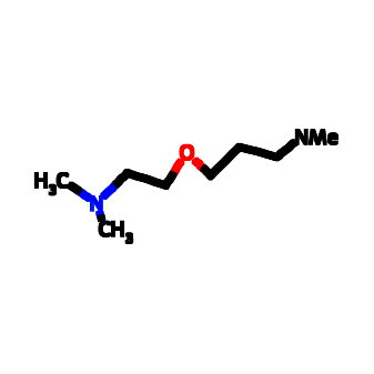 CNCCCOCCN(C)C